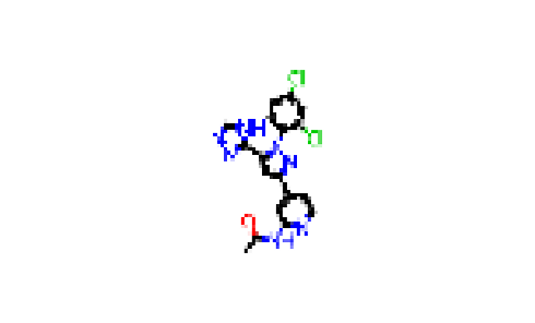 CC(=O)Nc1cc(-c2cc(-c3nnc[nH]3)n(-c3ccc(Cl)cc3Cl)n2)ccn1